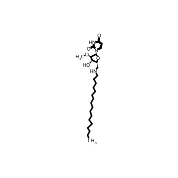 CCCCCCCCCCCCCCCCCNC[C@H]1O[C@@H](n2ccc(=O)[nH]c2=O)[C@H](OC)[C@@H]1O